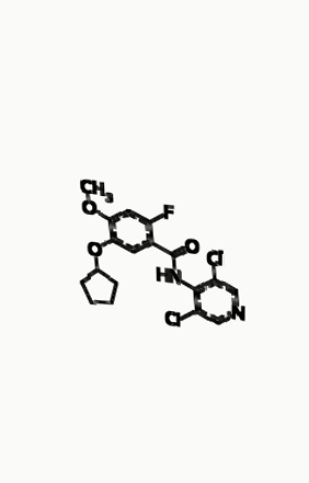 COc1cc(F)c(C(=O)Nc2c(Cl)cncc2Cl)cc1OC1CCCC1